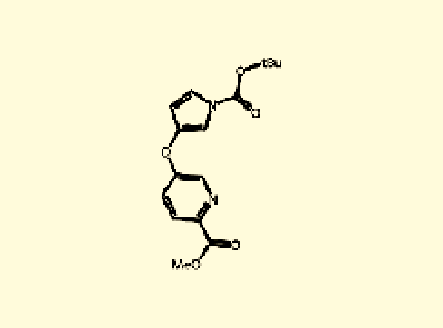 COC(=O)c1ccc(Oc2ccn(C(=O)OC(C)(C)C)c2)cn1